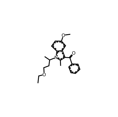 CCOCCC(C)n1c(C)c(C(=O)c2ccccc2)c2cc(OC)ccc21